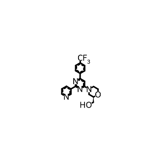 OC[C@H]1CN(c2cc(-c3ccc(C(F)(F)F)cc3)nc(-c3cccnc3)n2)CCO1